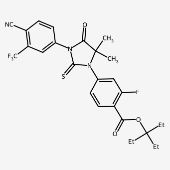 CCC(CC)(CC)OC(=O)c1ccc(N2C(=S)N(c3ccc(C#N)c(C(F)(F)F)c3)C(=O)C2(C)C)cc1F